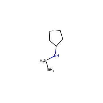 [SiH3][SiH2]NC1CCCC1